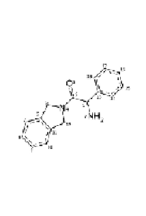 NC(C(=O)N1Cc2ccccc2C1)c1ccccc1